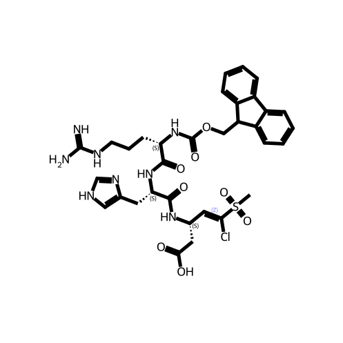 CS(=O)(=O)/C(Cl)=C/[C@H](CC(=O)O)NC(=O)[C@H](Cc1c[nH]cn1)NC(=O)[C@H](CCCNC(=N)N)NC(=O)OCC1c2ccccc2-c2ccccc21